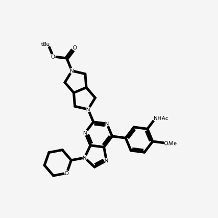 COc1ccc(-c2nc(N3CC4CN(C(=O)OC(C)(C)C)CC4C3)nc3c2ncn3C2CCCCO2)cc1NC(C)=O